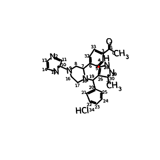 CC(=O)c1ccc(C2CN(c3cnccn3)CCN2C(c2ccccc2)c2c[nH]nc2C)cc1.Cl